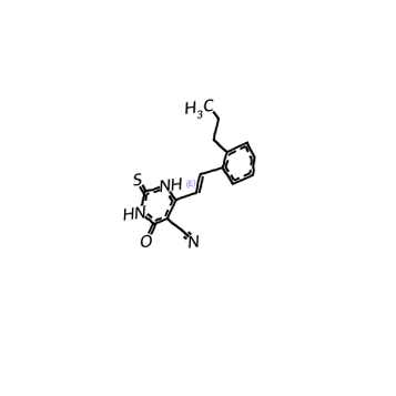 CCCc1ccccc1/C=C/c1[nH]c(=S)[nH]c(=O)c1C#N